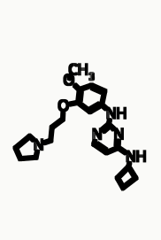 COc1ccc(Nc2nccc(NC3CCC3)n2)cc1OCCCN1CCCC1